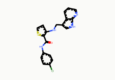 O=C(Nc1ccc(Cl)cc1)c1sccc1NCc1c[nH]c2ncccc12